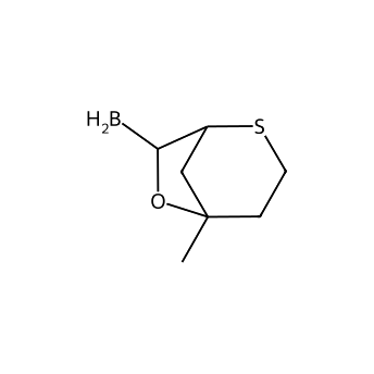 BC1OC2(C)CCSC1C2